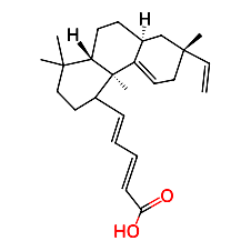 C=C[C@]1(C)CC=C2[C@@H](CC[C@H]3C(C)(C)CCC(/C=C/C=C/C(=O)O)[C@]23C)C1